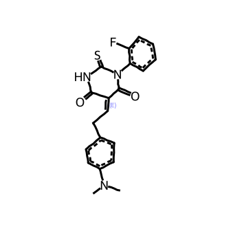 CN(C)c1ccc(C/C=C2\C(=O)NC(=S)N(c3ccccc3F)C2=O)cc1